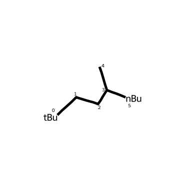 [CH2]C(C)(C)CCC(C)CCCC